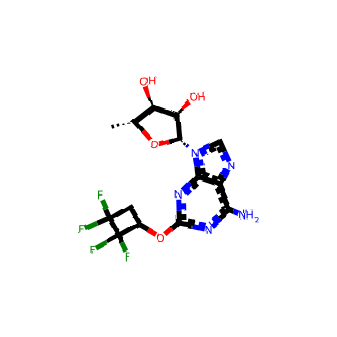 C[C@H]1O[C@@H](n2cnc3c(N)nc(OC4CC(F)(F)C4(F)F)nc32)[C@H](O)[C@@H]1O